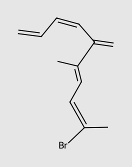 C=C/C=C\C(=C)/C(C)=C/C=C(\C)Br